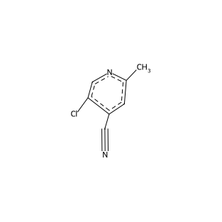 Cc1cc(C#N)c(Cl)cn1